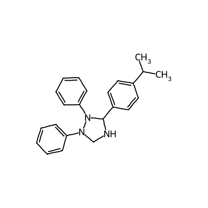 CC(C)c1ccc(C2NCN(c3ccccc3)N2c2ccccc2)cc1